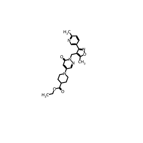 CCOC(=O)C1CCN(c2cnn(Cc3c(-c4ccc(C)nc4)noc3C)c(=O)c2)CC1